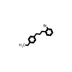 CCc1ccc(CC[CH]c2ccccc2Br)cc1